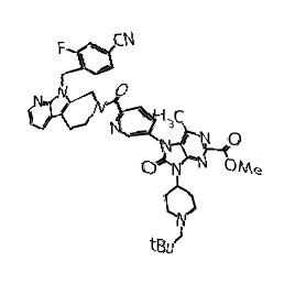 COC(=O)c1nc(C)c2c(n1)n(C1CCN(CC(C)(C)C)CC1)c(=O)n2-c1ccc(C(=O)N2CCc3c(n(Cc4ccc(C#N)cc4F)c4ncccc34)C2)nc1